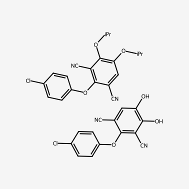 CC(C)Oc1cc(C#N)c(Oc2ccc(Cl)cc2)c(C#N)c1OC(C)C.N#Cc1cc(O)c(O)c(C#N)c1Oc1ccc(Cl)cc1